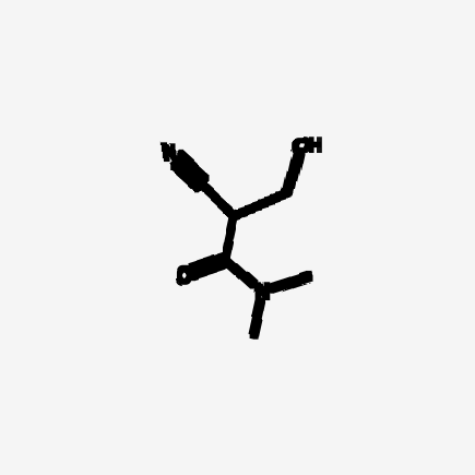 CN(C)C(=O)C(C#N)CO